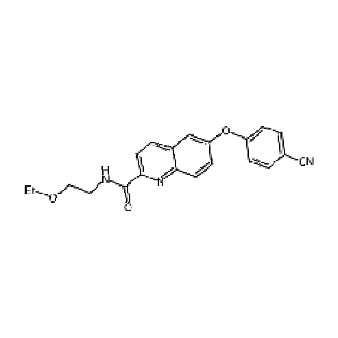 CCOCCNC(=O)c1ccc2cc(Oc3ccc(C#N)cc3)ccc2n1